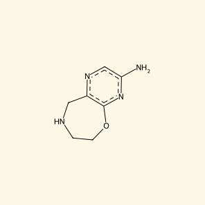 Nc1cnc2c(n1)OCCNC2